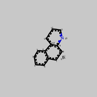 [B].c1ccc2c(c1)ccc1ncccc12